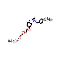 COCCOCCOCCOc1ccc(C[C@@H]2CN2Cc2ccc(OC)cc2)cc1